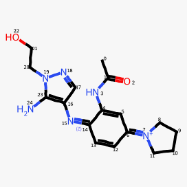 CC(=O)NC1=CC(=[N+]2CCCC2)C=C/C1=N/c1cnn(CCO)c1N